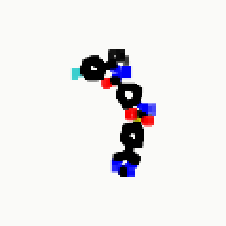 C[C@@H](NC(=O)[C@H]1CC[C@H](NS(=O)(=O)c2ccc(-c3cncnc3)cc2)CC1)c1ccc(F)cc1